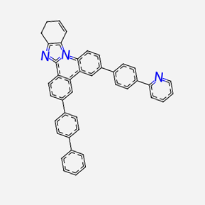 C1=Cc2c(nc3c4ccc(-c5ccc(-c6ccccc6)cc5)cc4c4cc(-c5ccc(-c6ccccn6)cc5)ccc4n23)CC1